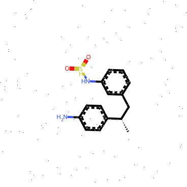 C[C@@H](Cc1cccc(N[SH](=O)=O)c1)c1ccc(N)cc1